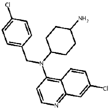 NC1CCC(N(Cc2ccc(Cl)cc2)c2ccnc3cc(Cl)ccc23)CC1